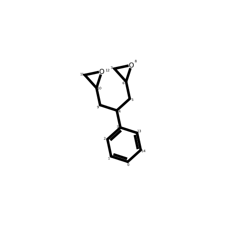 c1ccc(C(CC2CO2)CC2CO2)cc1